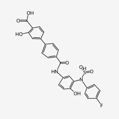 O=C(Nc1ccc(O)c(N(c2ccc(F)cc2)[SH](=O)=O)c1)c1ccc(-c2ccc(C(=O)O)c(O)c2)cc1